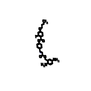 Nc1ccc(N)c(COC(=O)/C=C/c2ccc(OC(=O)c3ccc(OCCCC(F)(F)F)cc3F)cc2)c1